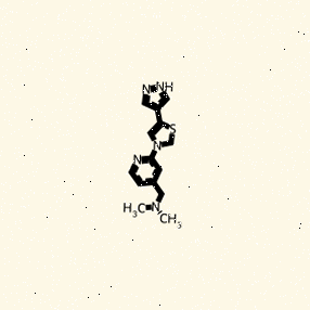 CN(C)Cc1ccnc(N2C=C(c3cn[nH]c3)SC2)c1